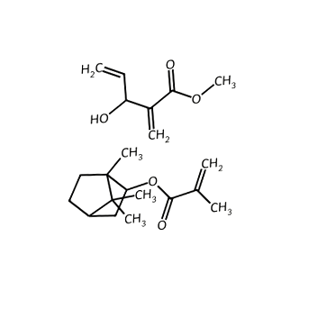 C=C(C)C(=O)OC1CC2CCC1(C)C2(C)C.C=CC(O)C(=C)C(=O)OC